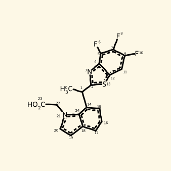 CC(c1nc2c(F)c(F)c(F)cc2s1)c1cccc2ccn(CC(=O)O)c12